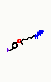 C=C(CCCCCN=[N+]=[N-])Oc1ccc(CI)cc1